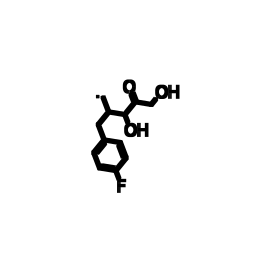 [CH2]C(Cc1ccc(F)cc1)C(O)C(=O)CO